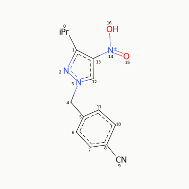 CC(C)c1nn(Cc2ccc(C#N)cc2)cc1[N+](=O)O